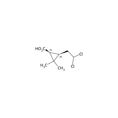 CC1(C)[C@H](CC(Cl)Cl)[C@@H]1C(=O)O